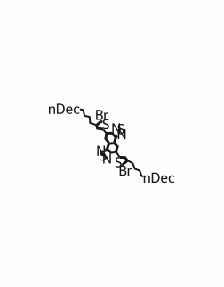 CCCCCCCCCCCCCCc1cc(-c2cc3c(cc(-c4cc(CCCCCCCCCCCCCC)c(Br)s4)c4nsnc43)c3nsnc23)sc1Br